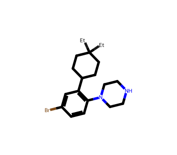 CCC1(CC)CCC(c2cc(Br)ccc2N2CCNCC2)CC1